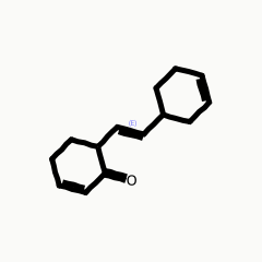 O=C1C=CCCC1/C=C/C1CC=CCC1